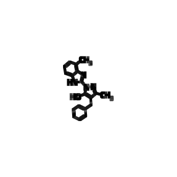 Cc1nn(-c2nc3c(C)cccc3[nH]2)c(O)c1Cc1ccccc1